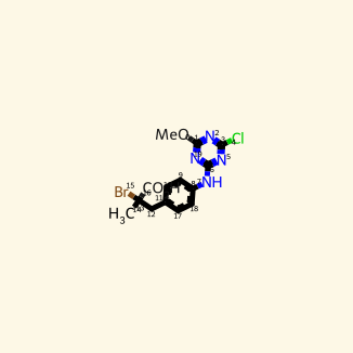 COc1nc(Cl)nc(Nc2ccc(CC(C)(Br)C(=O)O)cc2)n1